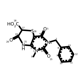 Cn1c2c(c(=O)n(Cc3ccccc3)c1=O)SC(C(=O)O)C(=O)N2